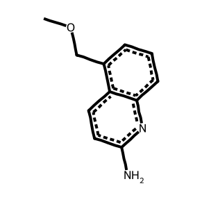 COCc1cccc2nc(N)ccc12